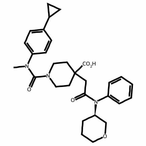 CN(C(=O)N1CCC(CC(=O)N(c2ccccc2)[C@@H]2CCCOC2)(C(=O)O)CC1)c1ccc(C2CC2)cc1